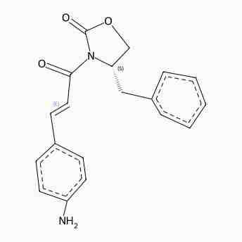 Nc1ccc(/C=C/C(=O)N2C(=O)OC[C@@H]2Cc2ccccc2)cc1